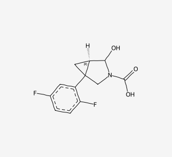 O=C(O)N1CC2(c3cc(F)ccc3F)C[C@H]2C1O